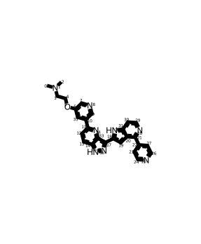 CN(C)CCOc1cncc(-c2ccc3[nH]nc(-c4cc5c(-c6ccncc6)nccc5[nH]4)c3n2)c1